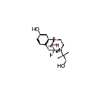 CC(C)(CO)N1CC[C@]23CCCC[C@H]2[C@H]1Cc1ccc(O)cc13